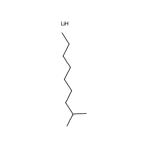 CCCCCCC[C](C)C.[LiH]